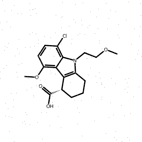 COCCn1c2c(c3c(OC)ccc(Cl)c31)[C@@H](C(=O)O)CCC2